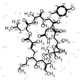 C/C=C(\C)[C@@H](O[Si](C)(C)C(C)(C)C)[C@@H](C)[C@H](C/C=C(\C)C(=O)O[C@H](CC(C)C)C(=O)N[C@@H](C)C(=O)N(C)[C@H](Cc1ccc(Cl)cc1)C(=O)N(C)CC(=O)N[C@H](C(=O)O)[C@H](C)CC)OCSC